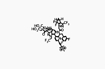 CC(C)(C#Cc1ccc(-c2ccc(Cl)c3c(N(C(=O)N(CC(=O)O)CC(=O)O)S(C)(=O)=O)nn(CC(F)(F)F)c23)c(C(Cc2cc(F)cc(F)c2)NC(=O)Cn2nc(C(F)(F)F)c3c2C(F)(F)[C@@H]2C[C@H]32)n1)S(C)(=O)=O